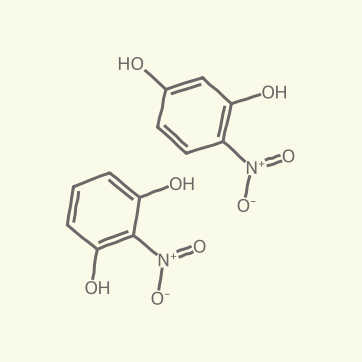 O=[N+]([O-])c1c(O)cccc1O.O=[N+]([O-])c1ccc(O)cc1O